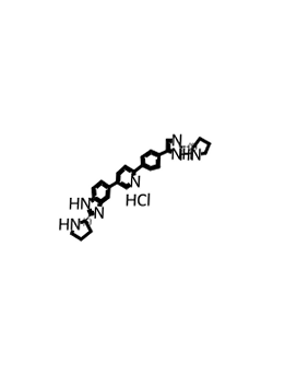 Cl.c1cc(-c2ccc(-c3cnc([C@@H]4CCCN4)[nH]3)cc2)ncc1-c1ccc2[nH]c([C@@H]3CCCN3)nc2c1